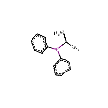 CC([SiH3])P(c1ccccc1)c1ccccc1